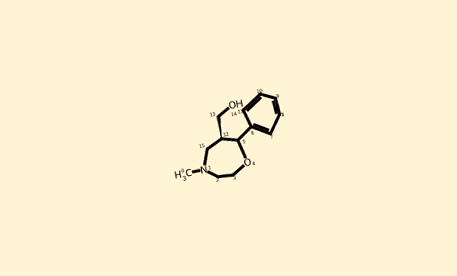 CN1CCOC(c2ccccc2)[C@H](CO)C1